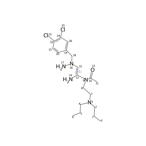 CCCN(CCC)CCN(C(C)=O)/C(N)=C/N(N)Cc1ccc(Cl)c(Cl)c1